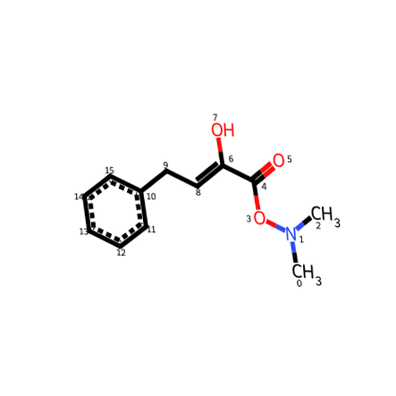 CN(C)OC(=O)C(O)=CCc1ccccc1